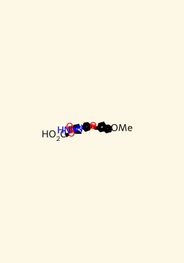 COc1ccc2cc(COc3ccc(N4CCN(S(=O)(=O)N[C@@H](C)C(=O)O)CC4)cc3)ccc2c1